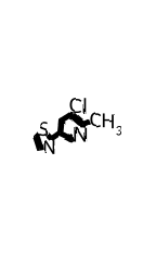 Cc1ncc(-c2nccs2)cc1Cl